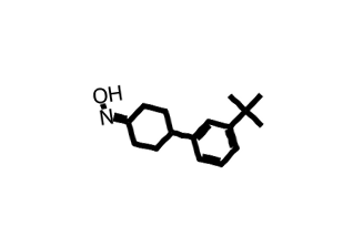 CC(C)(C)c1cccc(C2CCC(=NO)CC2)c1